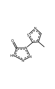 Cc1cnsc1-n1nn[nH]c1=O